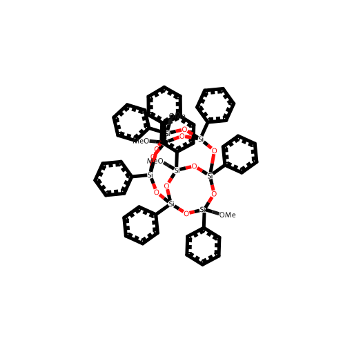 CO[Si]1(c2ccccc2)O[Si]2(c3ccccc3)O[Si](OC)(c3ccccc3)O[Si](c3ccccc3)(O1)O[Si]1(c3ccccc3)O[Si](OC)(c3ccccc3)O[Si](c3ccccc3)(O[Si](OC)(c3ccccc3)O1)O2